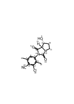 Cc1cc(N2C(=O)[C@@H]3[C@H](O)CCN3C2=O)c(C)c(Cl)c1C#N